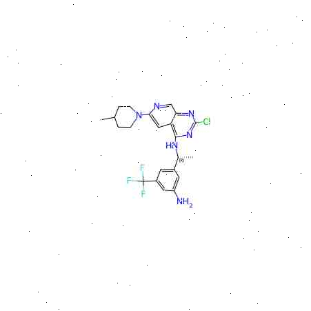 CC1CCN(c2cc3c(N[C@H](C)c4cc(N)cc(C(F)(F)F)c4)nc(Cl)nc3cn2)CC1